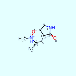 C[NH+]([O-])[C@H](C#N)C[C@@H]1CCNC1=O